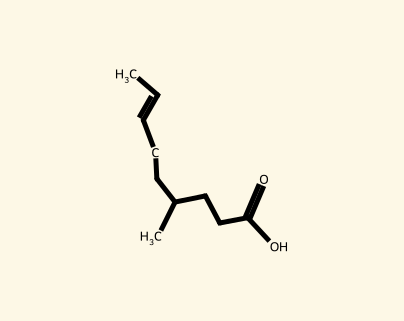 CC=CCCC(C)CCC(=O)O